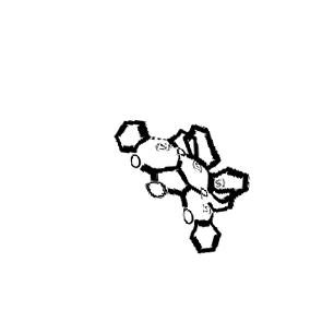 O=C1OC(=O)C(P2[C@H](c3ccccc3)CC[C@H]2c2ccccc2)=C1P1[C@H](c2ccccc2)CC[C@H]1c1ccccc1